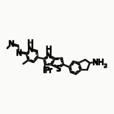 C/N=C\N=c1/[nH]cc(-c2[nH]c3cc(-c4ccc5c(c4)CC(N)C5)sc3c2C(C)C)cc1C